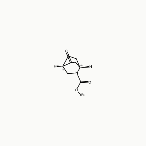 CC(C)(C)OC(=O)N1C[C@@H]2CC[C@H]1CC2=O